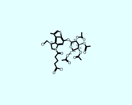 CC(=O)OC[C@H]1O[C@@H](Oc2cc3c(c4c(C)csc24)[C@H](CCl)CN3C(=O)CCCC(=O)Cl)[C@H](OC(C)=O)[C@@H](OC(C)=O)[C@H]1OC(C)=O